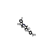 CNc1ccc(NC(=O)c2c(C)[nH]c(/C=C3\C(=O)Nc4ccc(F)cc43)c2C)cc1